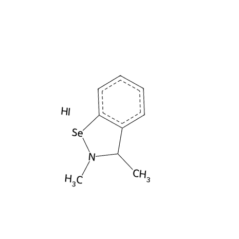 CC1c2ccccc2[Se]N1C.I